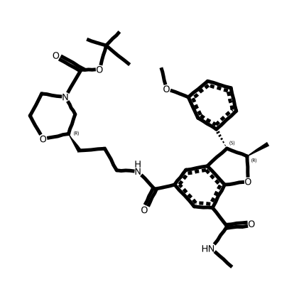 CNC(=O)c1cc(C(=O)NCCC[C@@H]2CN(C(=O)OC(C)(C)C)CCO2)cc2c1O[C@H](C)[C@H]2c1cccc(OC)c1